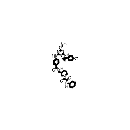 O=C(NC1CCCCC1)C(=O)N1CCCC(CNC(=O)c2ccc(Nc3nc(NC4(c5ccc(Cl)cc5)CC4)nc(OCC(F)(F)F)n3)cc2)C1